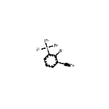 C#Cc1cccc([Si](C(C)C)(C(C)C)C(C)C)c1Br